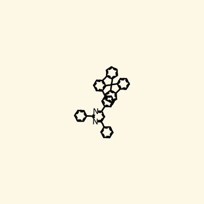 c1ccc(-c2cc(-c3cccc(-c4cccc5c4C4(c6ccccc6-c6ccccc64)c4ccccc4-5)c3)nc(-c3ccccc3)n2)cc1